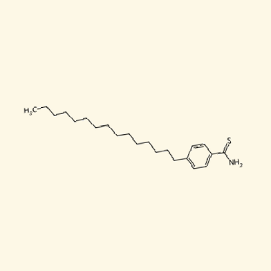 CCCCCCCCCCCCCCCc1ccc(C(N)=S)cc1